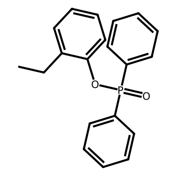 CCc1ccccc1OP(=O)(c1ccccc1)c1ccccc1